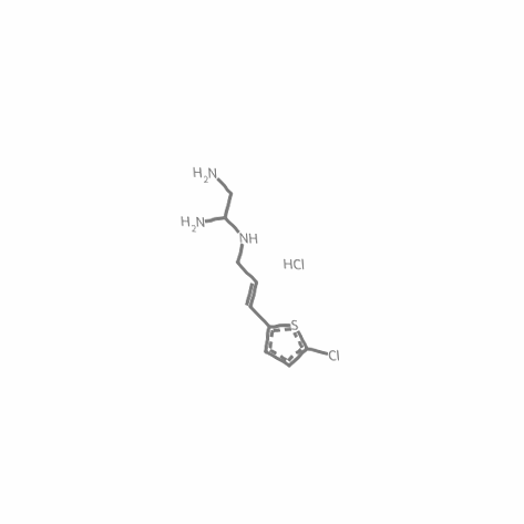 Cl.NCC(N)NCC=Cc1ccc(Cl)s1